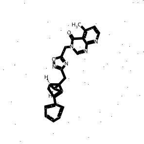 Cc1ccnc2ncn(Cc3nc(CC45C6=C(c7ccccc7)C[C@@H]4[C@H]65)no3)c(=O)c12